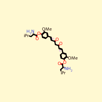 COc1cc(/C=C/C(=O)CC(=O)/C=C/c2ccc(OC(=O)[C@@H](N)CC(C)C)c(OC)c2)ccc1OC(=O)[C@@H](N)CC(C)C